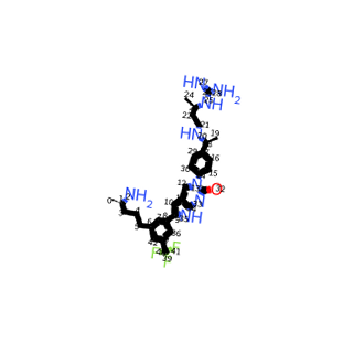 C[C@H](N)CCCc1cc(-c2cc3cn(-c4ccc([C@H](C)NCC[C@@H](C)NC(=N)N)cc4)c(=O)nc3[nH]2)cc(C(F)(F)F)c1